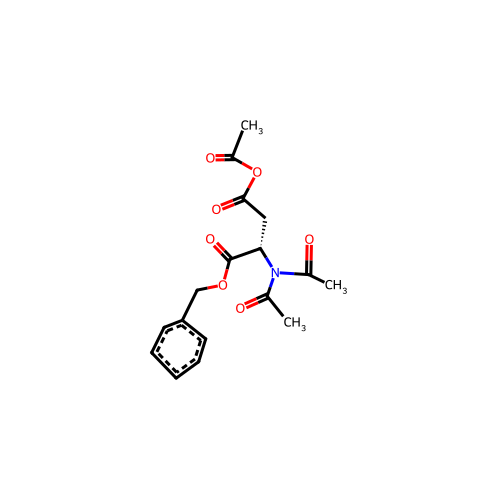 CC(=O)OC(=O)C[C@@H](C(=O)OCc1ccccc1)N(C(C)=O)C(C)=O